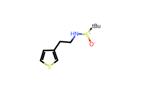 CC(C)(C)[S+]([O-])NCCc1ccsc1